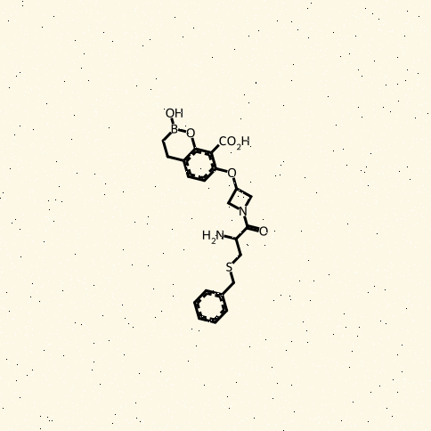 NC(CSCc1ccccc1)C(=O)N1CC(Oc2ccc3c(c2C(=O)O)OB(O)CC3)C1